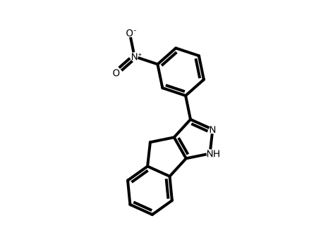 O=[N+]([O-])c1cccc(-c2n[nH]c3c2Cc2ccccc2-3)c1